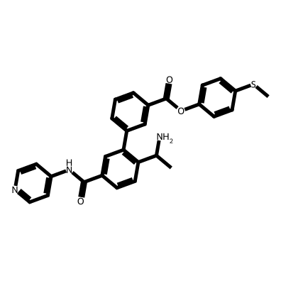 CSc1ccc(OC(=O)c2cccc(-c3cc(C(=O)Nc4ccncc4)ccc3C(C)N)c2)cc1